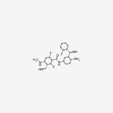 CNc1cc(F)c(C(=O)Nc2ccc(N)c(C(=N)c3ccccc3F)c2)c(F)c1C=N